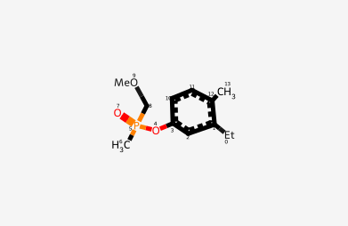 CCc1cc(OP(C)(=O)COC)ccc1C